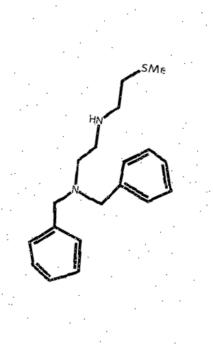 CSCCNCCN(Cc1ccccc1)Cc1ccccc1